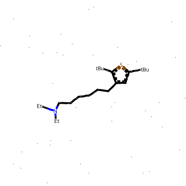 CCN(CC)CCCCCCc1cc(C(C)(C)C)sc1C(C)(C)C